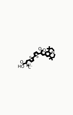 [C-]#[N+]/C(=C\c1ccc(-c2ccc(-c3cc4cc5c6c(c4oc3=O)C(C)(C)CCN6CCC5(C)C)s2)s1)C(=O)O